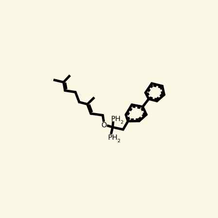 CC(C)=CCC/C(C)=C/COC(P)(P)Cc1ccc(-c2ccccc2)cc1